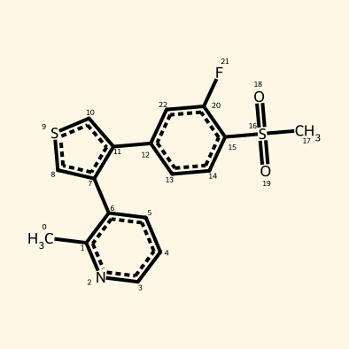 Cc1ncccc1-c1cscc1-c1ccc(S(C)(=O)=O)c(F)c1